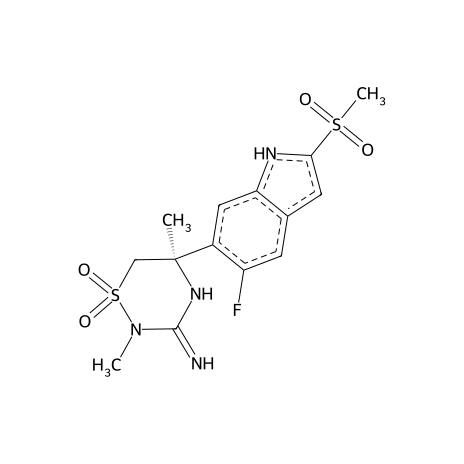 CN1C(=N)N[C@](C)(c2cc3[nH]c(S(C)(=O)=O)cc3cc2F)CS1(=O)=O